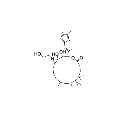 CC(=Cc1csc(C)n1)C1OC(=O)CCC(C)(C)C(=O)C(C)CC(C)CCCC2N(CCO)C2(O)C1O